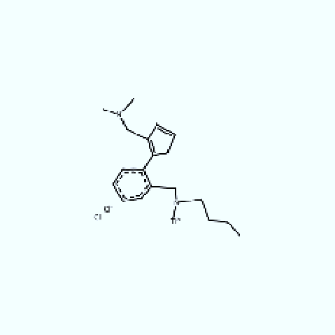 CCCC[N]([Ti+2])Cc1ccccc1C1=C(CN(C)C)C=CC1.[Cl-].[Cl-]